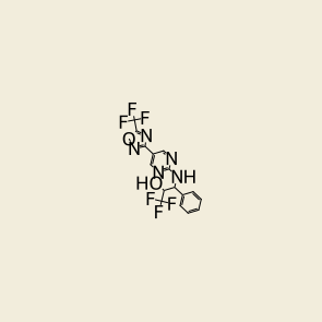 OC(C(Nc1ncc(-c2noc(C(F)(F)F)n2)cn1)c1ccccc1)C(F)(F)F